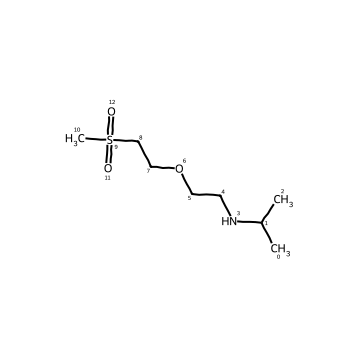 CC(C)NCCOCCS(C)(=O)=O